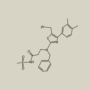 Cc1ccc(-c2nc(N(CCC(=O)NS(C)(=O)=O)Cc3ccccc3)sc2CC(C)C)cc1C